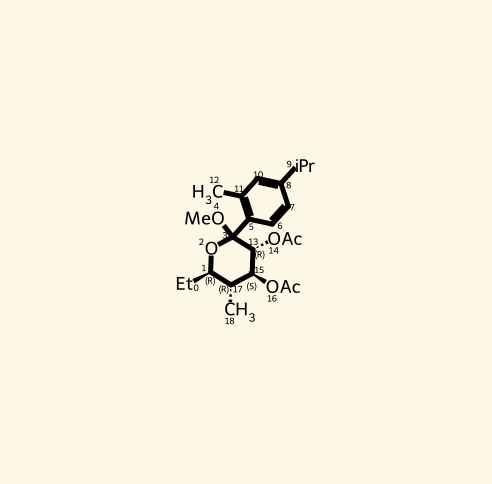 CC[C@H]1OC(OC)(c2ccc(C(C)C)cc2C)[C@H](OC(C)=O)[C@@H](OC(C)=O)[C@@H]1C